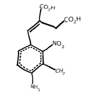 Cc1c(N)ccc(C=C(CC(=O)O)C(=O)O)c1[N+](=O)[O-]